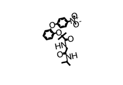 CC(C)NC(=O)CNC(=O)C(C)(C)Oc1ccccc1Oc1ccc([N+](=O)[O-])cc1